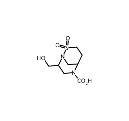 O=C(O)N1CC(CO)N2CC1CCS2(=O)=O